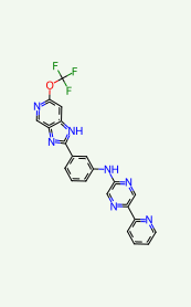 FC(F)(F)Oc1cc2[nH]c(-c3cccc(Nc4cnc(-c5ccccn5)cn4)c3)nc2cn1